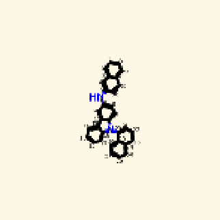 c1ccc2cc(Nc3ccc4c(c3)c3ccccc3n4-c3cccc4ccccc34)ccc2c1